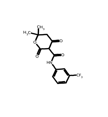 CC1(C)CC(=O)C(C(=O)Nc2cccc(C(F)(F)F)c2)C(=O)O1